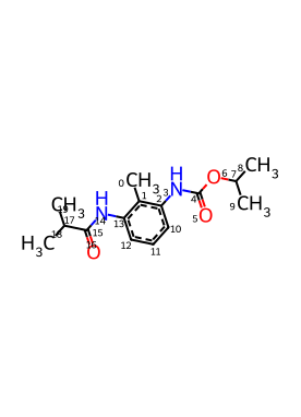 Cc1c(NC(=O)OC(C)C)cccc1NC(=O)C(C)C